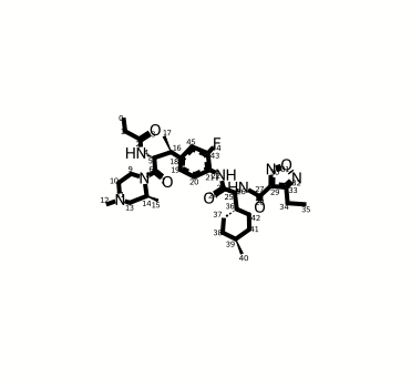 CCC(=O)N[C@@H](C(=O)N1CCN(C)C[C@@H]1C)[C@@H](C)c1ccc(NC(=O)[C@@H](NC(=O)c2nonc2CC)[C@H]2CC[C@H](C)CC2)c(F)c1